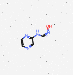 O/N=C\Nc1cnccn1